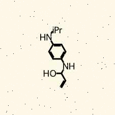 C=CC(O)Nc1ccc(NC(C)C)cc1